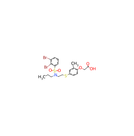 CCCN(CCSc1ccc(OCC(=O)O)c(C)c1)S(=O)(=O)c1cccc(Br)c1Br